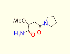 COC(CC(=O)N1CCCC1)C(N)=O